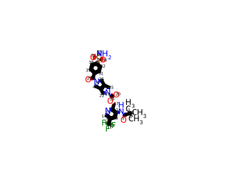 CC(C)(C)C(=O)Nc1cc(C(F)(F)F)cnc1COC(=O)N1CC2=C(C1)CN(C(=O)c1ccc(S(N)(=O)=O)cc1)C2